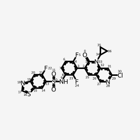 O=c1c(-c2c(F)ccc(NS(=O)(=O)c3cc4scnc4cc3F)c2F)cc2cnc(Cl)cc2n1C1CC1